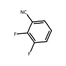 N#Cc1cc[c]c(F)c1F